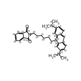 CN(C)c1ccc2cc3ccc(N(C)C)cc3[n+](CCCCCCN3C(=O)c4ccccc4C3=O)c2c1